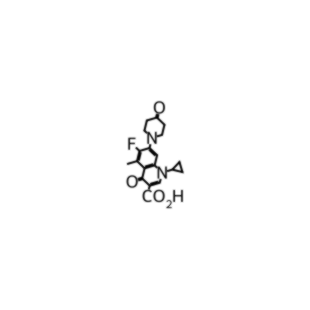 Cc1c(F)c(N2CCC(=O)CC2)cc2c1c(=O)c(C(=O)O)cn2C1CC1